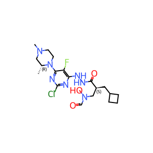 C[C@@H]1CN(C)CCN1c1nc(Cl)nc(NNC(=O)[C@@H](CC2CCC2)CN(O)C=O)c1F